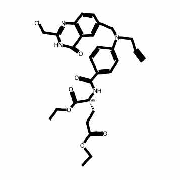 C#CCN(Cc1ccc2nc(CCl)[nH]c(=O)c2c1)c1ccc(C(=O)N[C@H](CCC(=O)OCC)C(=O)OCC)cc1